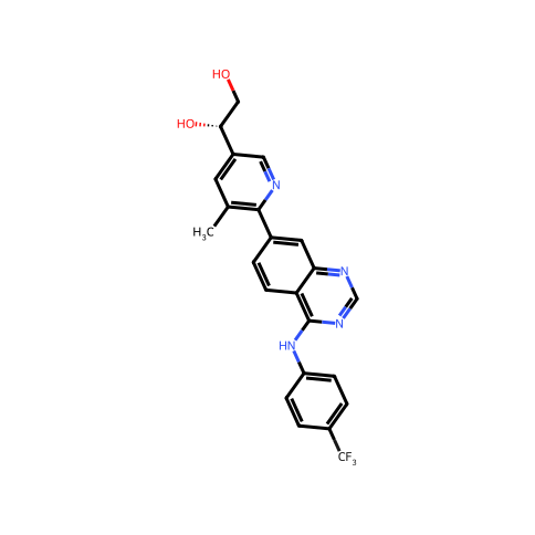 Cc1cc([C@H](O)CO)cnc1-c1ccc2c(Nc3ccc(C(F)(F)F)cc3)ncnc2c1